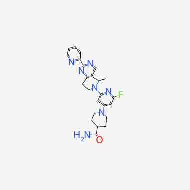 CC1c2cnc(-c3ccccn3)nc2CCN1c1cc(N2CCC(C(N)=O)CC2)cc(F)n1